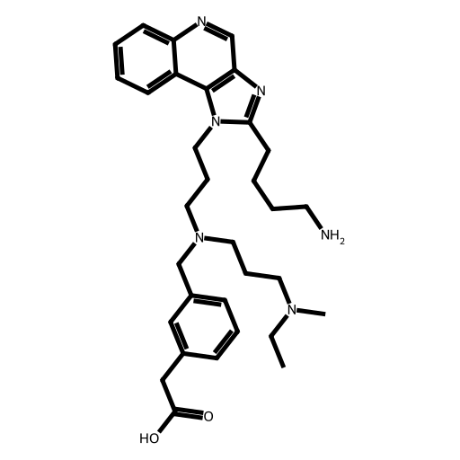 CCN(C)CCCN(CCCn1c(CCCCN)nc2cnc3ccccc3c21)Cc1cccc(CC(=O)O)c1